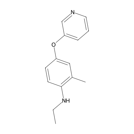 CCNc1ccc(Oc2cccnc2)cc1C